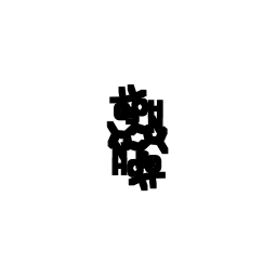 Cc1c[nH]c2c(B3OC(C)(C)C(C)(C)O3)c3c(C)c[nH]c3c(B3OC(C)(C)C(C)(C)O3)c12